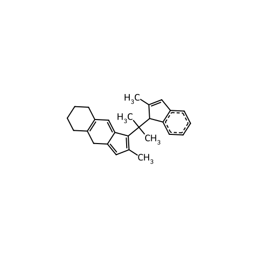 CC1=Cc2ccccc2C1C(C)(C)C1=C(C)C=C2CC3=C(C=C21)CCCC3